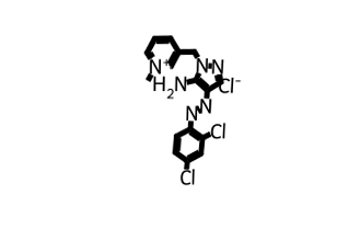 C[n+]1cccc(Cn2ncc(N=Nc3ccc(Cl)cc3Cl)c2N)c1.[Cl-]